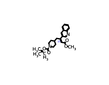 COC(=O)/C=C(/CC1CCN(C(=O)OC(C)(C)C)CC1)c1cnc2ccccc2c1